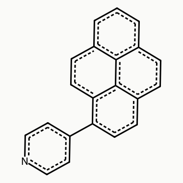 c1cc2ccc3ccc(-c4ccncc4)c4ccc(c1)c2c34